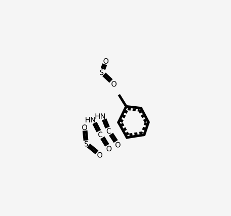 Cc1ccccc1.N=C=O.N=C=O.O=S=O.O=S=O